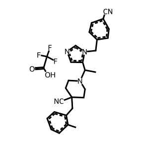 Cc1ccccc1CC1(C#N)CCN(C(C)c2cncn2Cc2ccc(C#N)cc2)CC1.O=C(O)C(F)(F)F